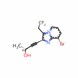 C[C@@H](O)C#Cc1nc2c(Br)cccn2c1CC(F)(F)F